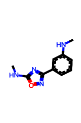 CNc1cccc(-c2noc(NC)n2)c1